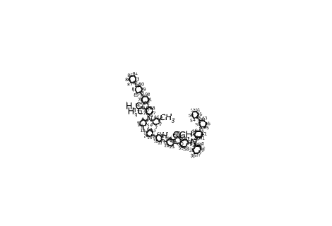 Cc1cccc(N(c2cccc(Cc3ccc(-c4ccc(-c5ccc6c(c5)C(C)(C)c5cc(N(c7ccccc7)c7ccc(-c8cccc(-c9ccccc9)c8)cc7)ccc5-6)cc4)cc3)c2)c2ccc3c(c2)C(C)(C)c2cc(-c4ccc(-c5ccccc5)cc4)ccc2-3)c1